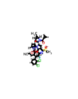 C[C@@H]1[C@@H]2C[C@H](c3cc4c([S+](C)[O-])nc5c(F)c(-c6cccc(Cl)c6Cl)c(CCC#N)cc5c4n3[C@H]3[C@@H]4C[C@H]3N(C(=O)OC(C)(C)C)C4)N(C(=O)C3CC3)[C@H]12